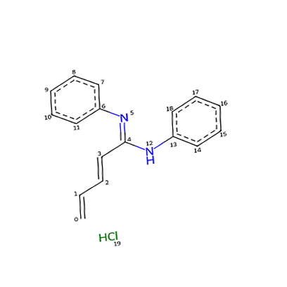 C=C/C=C/C(=N\c1ccccc1)Nc1ccccc1.Cl